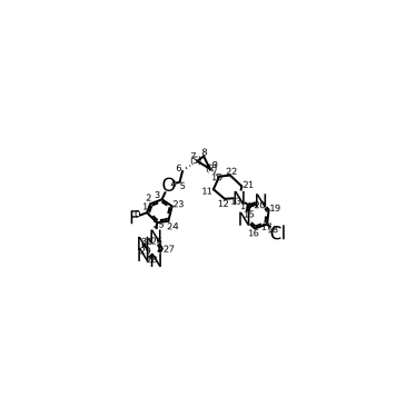 Fc1cc(OCC[C@@H]2C[C@@H]2C2CCN(c3ncc(Cl)cn3)CC2)ccc1-n1cnnn1